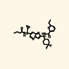 CCCC(=O)N[C@@H](c1cnn2cc([C@@H](NC(=O)c3cccc(CC)n3)C3CCC(F)(F)CC3)nc2c1)C1CC1